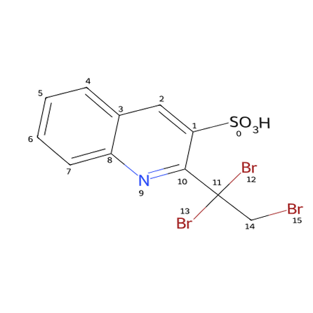 O=S(=O)(O)c1cc2ccccc2nc1C(Br)(Br)CBr